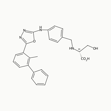 Cc1c(-c2ccccc2)cccc1-c1nnc(Nc2ccc(CN[C@H](CO)C(=O)O)cc2)o1